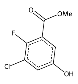 COC(=O)c1cc(O)cc(Cl)c1F